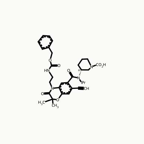 C#Cc1cc2c(cc1C(=O)N(C(C)C)[C@@H]1CCCN(C(=O)O)C1)N(CCNC(=O)OCc1ccccc1)C(=O)C(C)(C)O2